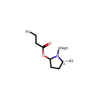 CCCCCCCN1C(OC(=O)CCC(C)=O)CC[C@H]1CC